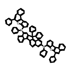 c1ccc(-c2cc3ccccc3c3c2oc2c(N(c4ccccc4)c4ccc5c6c(ccc5c4)-c4c(cc(N(c5ccccc5)c5cccc7c5oc5c(-c8ccccc8)cc8ccccc8c57)c5ccccc45)C6(c4ccccc4)c4ccccc4)cccc23)cc1